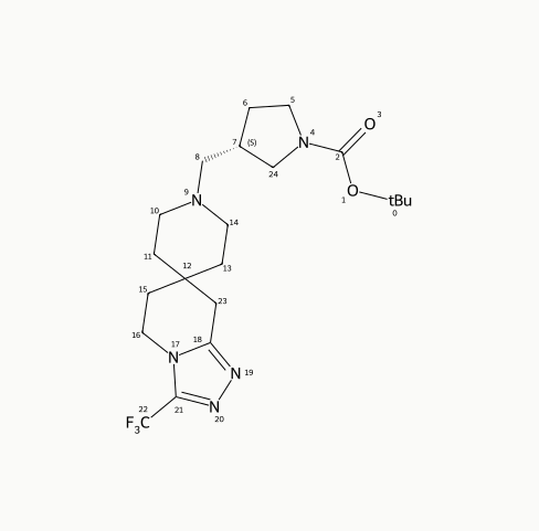 CC(C)(C)OC(=O)N1CC[C@@H](CN2CCC3(CC2)CCn2c(nnc2C(F)(F)F)C3)C1